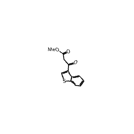 COC(=O)CC(=O)c1csc2ccccc12